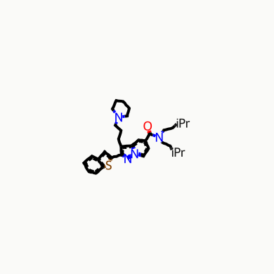 CC(C)CCN(CCC(C)C)C(=O)c1ccn2nc(-c3cc4ccccc4s3)c(CCCN3CCCCC3)c2c1